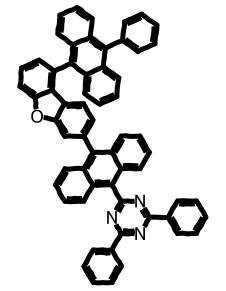 c1ccc(-c2nc(-c3ccccc3)nc(-c3c4ccccc4c(-c4ccc5c(c4)oc4cccc(-c6c7ccccc7c(-c7ccccc7)c7ccccc67)c45)c4ccccc34)n2)cc1